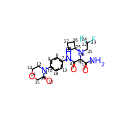 NC(=O)[C@@H](C(=O)Nc1ccc(N2CCOCC2=O)cc1)N(CC(F)F)C1CCC1